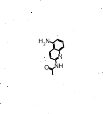 CC(=O)Nc1ccc2c(N)cccc2n1